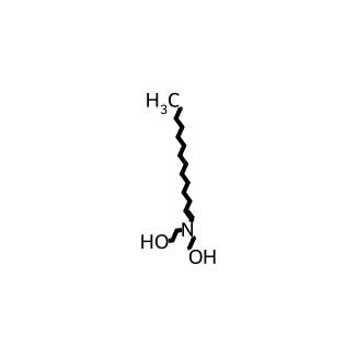 CCCCCCCCCCCCC=CN(CCO)CCO